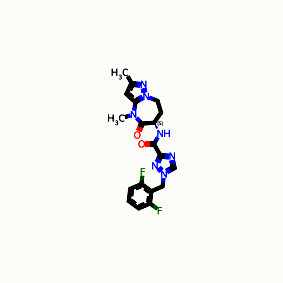 Cc1cc2n(n1)CC[C@H](NC(=O)c1ncn(Cc3c(F)cccc3F)n1)C(=O)N2C